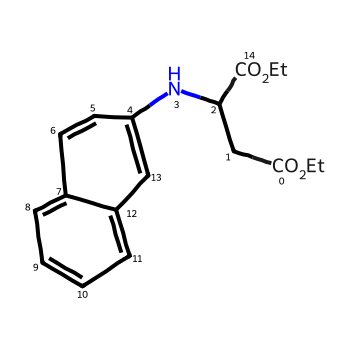 CCOC(=O)CC(Nc1ccc2ccccc2c1)C(=O)OCC